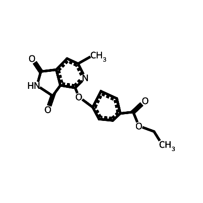 CCOC(=O)c1ccc(Oc2nc(C)cc3c2C(=O)NC3=O)cc1